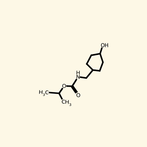 CC(C)OC(=O)NCC1CCC(O)CC1